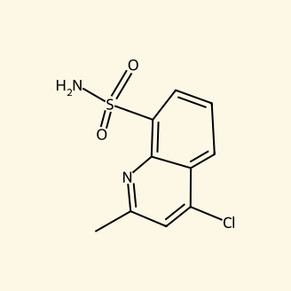 Cc1cc(Cl)c2cccc(S(N)(=O)=O)c2n1